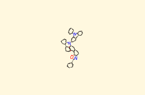 c1ccc(-c2nc3ccc4cc(N(c5ccc6c7ccccc7n(-c7ccccc7)c6c5)c5ccccc5-c5ccccc5)ccc4c3o2)cc1